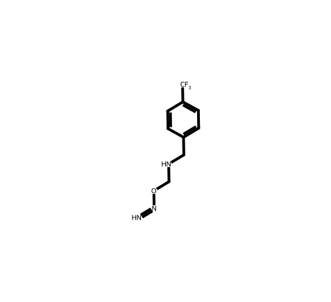 N=NOCNCc1ccc(C(F)(F)F)cc1